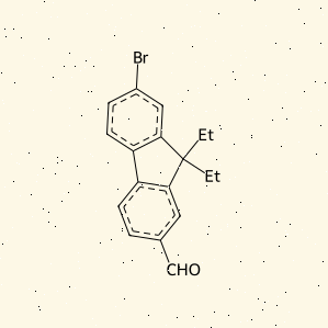 CCC1(CC)c2cc(Br)ccc2-c2ccc(C=O)cc21